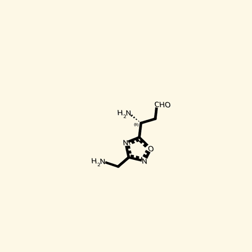 NCc1noc([C@H](N)CC=O)n1